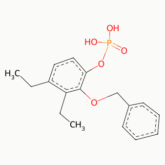 CCc1ccc(OP(=O)(O)O)c(OCc2ccccc2)c1CC